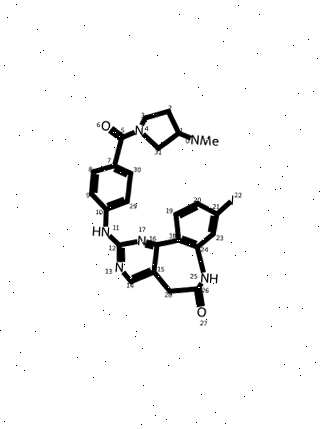 CNC1CCN(C(=O)c2ccc(Nc3ncc4c(n3)-c3ccc(I)cc3NC(=O)C4)cc2)C1